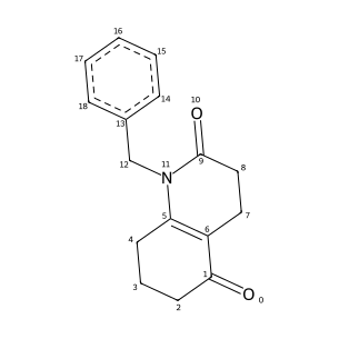 O=C1CCCC2=C1CCC(=O)N2Cc1ccccc1